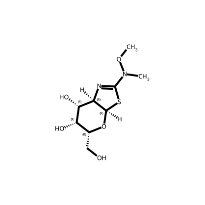 CON(C)C1=N[C@@H]2[C@@H](O)[C@@H](O)[C@@H](CO)O[C@@H]2S1